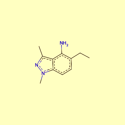 CCc1ccc2c(c(C)nn2C)c1N